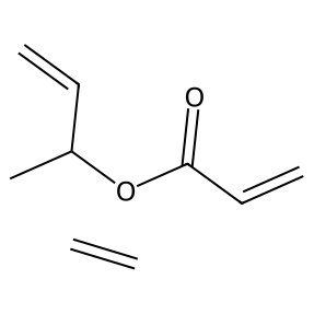 C=C.C=CC(=O)OC(C)C=C